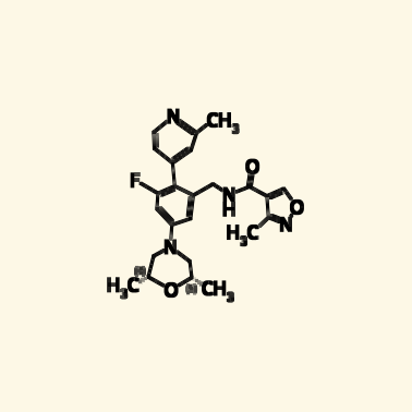 Cc1cc(-c2c(F)cc(N3C[C@@H](C)O[C@@H](C)C3)cc2CNC(=O)c2conc2C)ccn1